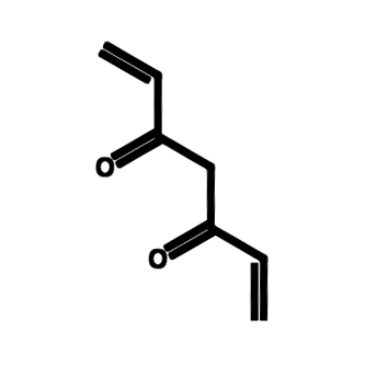 C=CC(=O)CC(=O)C=C